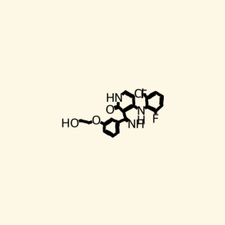 N=C(c1cccc(OCCO)c1)c1c(Nc2c(F)cccc2F)c(Cl)c[nH]c1=O